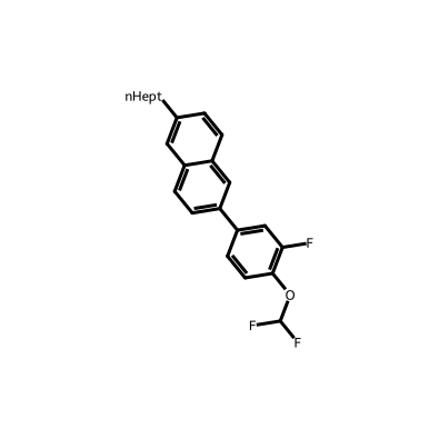 CCCCCCCc1ccc2cc(-c3ccc(OC(F)F)c(F)c3)ccc2c1